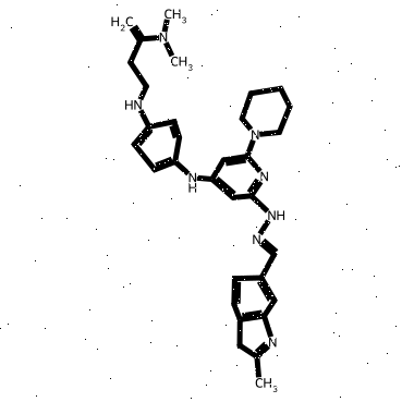 C=C(CCNc1ccc(Nc2cc(N/N=C/c3ccc4c(c3)N=C(C)C4)nc(N3CCCCC3)c2)cc1)N(C)C